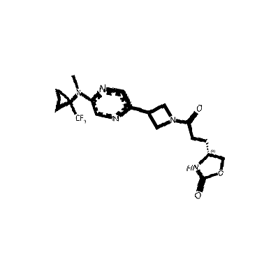 CN(c1cnc(C2CN(C(=O)CC[C@@H]3COC(=O)N3)C2)cn1)C1(C(F)(F)F)CC1